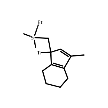 CC[Si](C)(C)C[C]1([Ti])C=C(C)C2=C1CCCC2